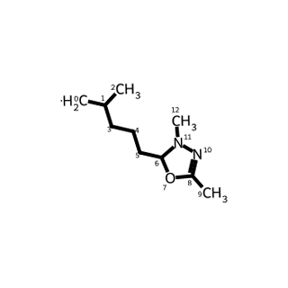 [CH2]C(C)CCCC1OC(C)=NN1C